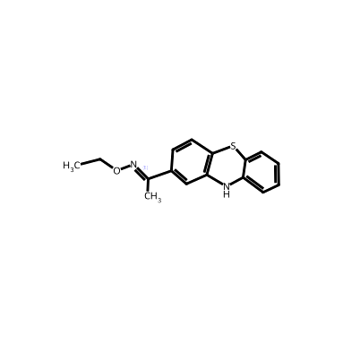 CCO/N=C(\C)c1ccc2c(c1)Nc1ccccc1S2